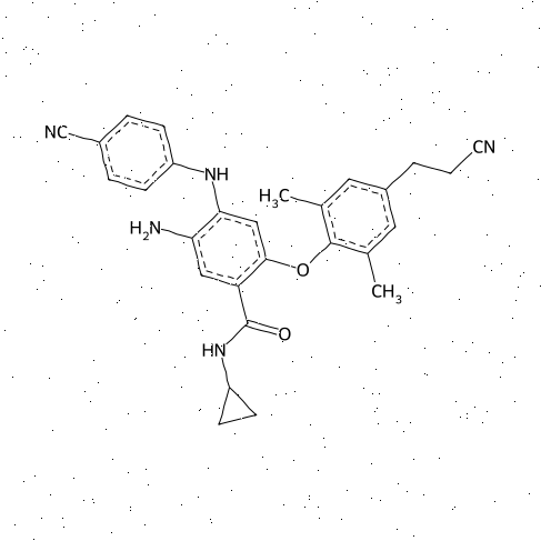 Cc1cc(CCC#N)cc(C)c1Oc1cc(Nc2ccc(C#N)cc2)c(N)cc1C(=O)NC1CC1